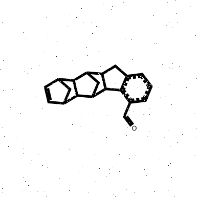 O=Cc1cccc2c1C1C(C2)C2CC1C1C3C=CC(C3)C21